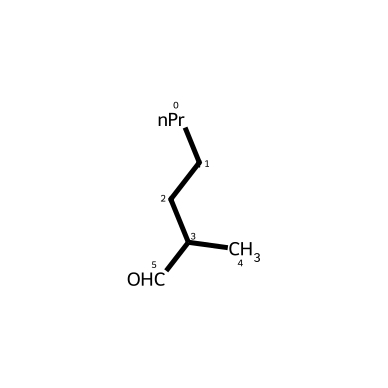 CCC[CH]CC(C)C=O